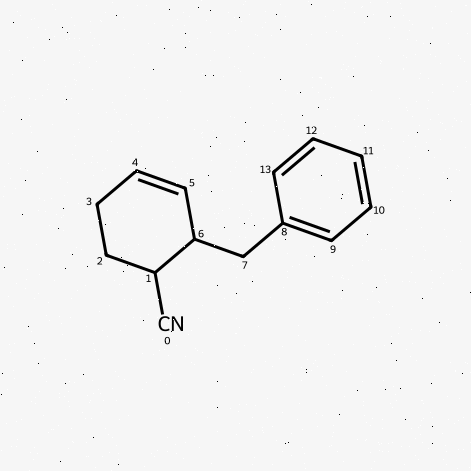 N#CC1CCC=CC1Cc1ccccc1